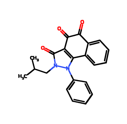 CC(C)Cn1c(=O)c2c(n1-c1ccccc1)-c1ccccc1C(=O)C2=O